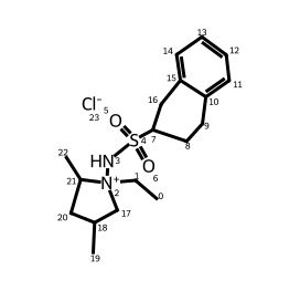 CC[N+]1(NS(=O)(=O)C2CCc3ccccc3C2)CC(C)CC1C.[Cl-]